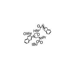 COc1cc2ccccc2cc1N(CCN(C(=O)OC(C)(C)C)C(C)C)CC(=O)NCC(=O)N(C)N1Cc2ccccc2C1